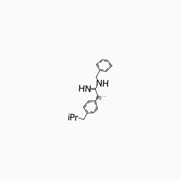 CC(C)Cc1ccc([C@@H](C)C(=N)NCc2ccccc2)cc1